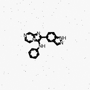 c1ccc(Nc2c(-c3ccc4[nH]ncc4c3)nc3cnccn23)cc1